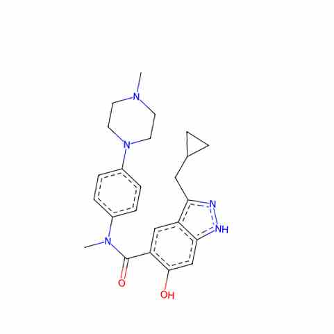 CN1CCN(c2ccc(N(C)C(=O)c3cc4c(CC5CC5)n[nH]c4cc3O)cc2)CC1